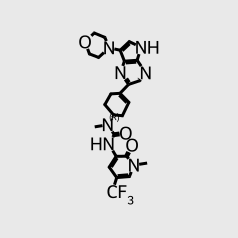 CN(C(=O)Nc1cc(C(F)(F)F)cn(C)c1=O)[C@H]1CC=C(c2cnc3[nH]cc(N4CCOCC4)c3n2)CC1